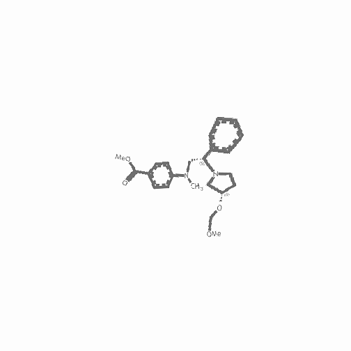 COCO[C@H]1CCN([C@H](CN(C)c2ccc(C(=O)OC)cc2)c2ccccc2)C1